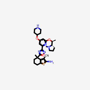 C[C@H](Oc1cc(OC2CCNCC2)cc(-c2noc(C3(C)CCCc4sc(N)c(C#N)c43)n2)n1)[C@@H]1CCCN1C